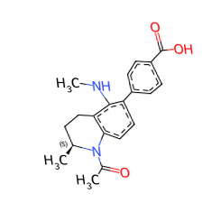 CNc1c(-c2ccc(C(=O)O)cc2)ccc2c1CC[C@H](C)N2C(C)=O